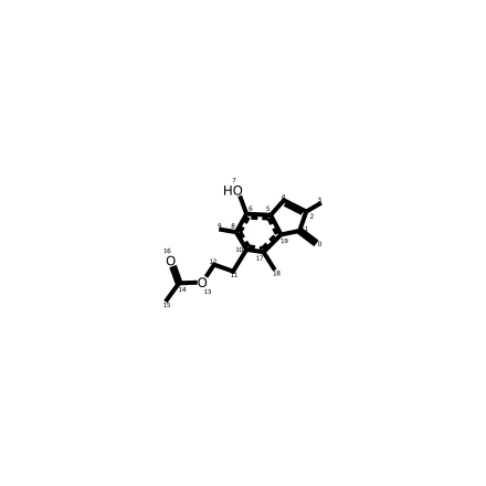 C=C1C(C)=Cc2c(O)c(C)c(CCOC(C)=O)c(C)c21